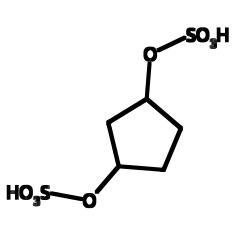 O=S(=O)(O)OC1CCC(OS(=O)(=O)O)C1